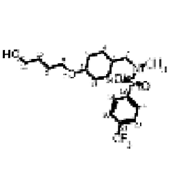 CN(CC1CCC(OCCCCO)CC1)S(=O)(=O)c1ccc(C(F)(F)F)cc1